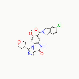 COc1cc2c(cc1C(=O)N1Cc3ccc(Cl)cc3C1)[nH]c(=O)c1cnc(C3CCOCC3)n12